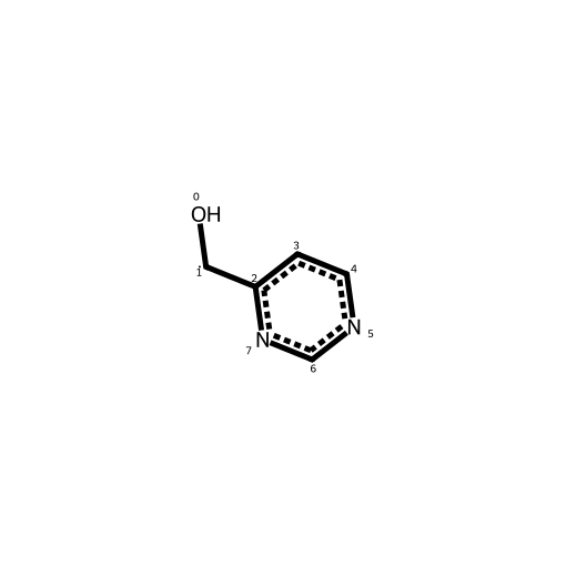 O[CH]c1ccncn1